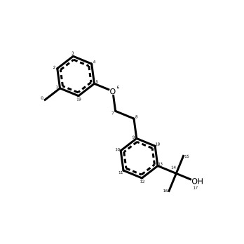 Cc1cccc(OCCc2cccc(C(C)(C)O)c2)c1